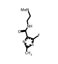 CNCCNC(=O)c1nc(C)sc1F